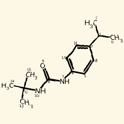 CC(C)c1ccc(NC(=O)NC(C)(C)C)cc1